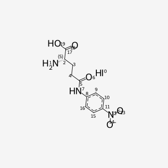 I.N[C@@H](CCC(=O)Nc1ccc([N+](=O)[O-])cc1)C(=O)O